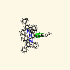 CC(=Nc1c(C2CCCCC2)cc(C2CCCCC2)cc1C1CCCCC1)c1cc(Cl)cc(C(C)=Nc2c(C3CCCCC3)cc(C3CCCCC3)cc2C2CCCCC2)n1.[Cl-].[Cl-].[Cl-].[Co+3]